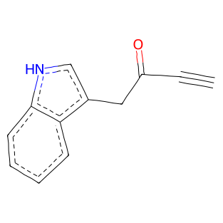 C#CC(=O)Cc1c[nH]c2ccccc12